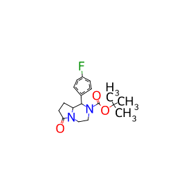 CC(C)(C)OC(=O)N1CCN2C(=O)CCC2C1c1ccc(F)cc1